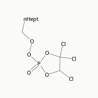 CCCCCCCCOOP1(=O)OC(Cl)C(Cl)(Cl)O1